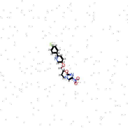 O=[N+]([O-])c1cn2c(n1)O[C@@H](COc1ccc(-c3ccc(F)cc3)nc1)CC2